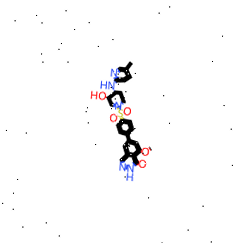 COc1cc(-c2ccc(S(=O)(=O)N3CC[C@@H](Nc4ccc(C)cn4)[C@@H](O)C3)cc2)cc2cn[nH]c(=O)c12